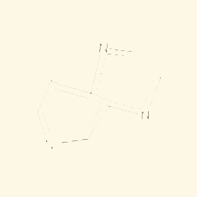 [c]1cnc2c(n1)=CC=[N+]C=2